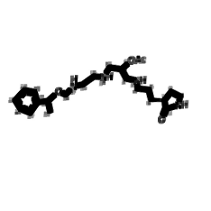 CC(=O)OC(CNCCC[C@H]1CCNC1=O)CNCCNCOC(C)c1ccccc1